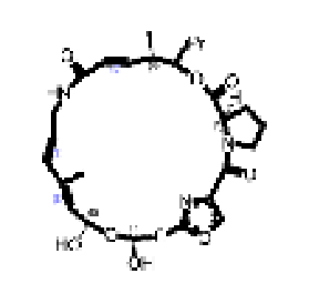 CC1=C\[C@@H](O)C[C@H](O)Cc2nc(co2)C(=O)N2CCC[C@@H]2C(=O)OC(C(C)C)[C@H](C)/C=C/C(=O)NC\C=C\1